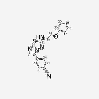 N#Cc1ccc(-c2cnc3sc(NCCOc4ccccc4)nn23)cc1